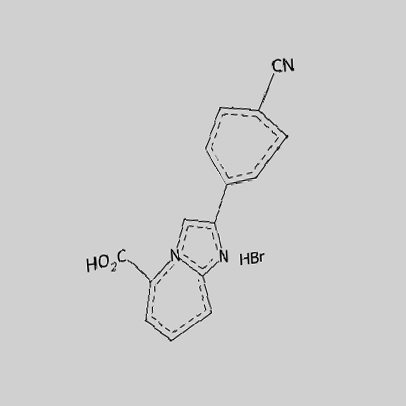 Br.N#Cc1ccc(-c2cn3c(C(=O)O)cccc3n2)cc1